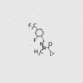 CN(/N=C/c1ccc(C(F)(F)F)cc1F)C(=O)C1CC1